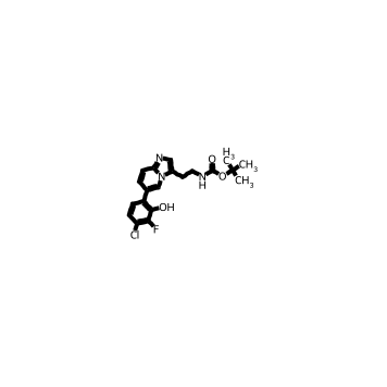 CC(C)(C)OC(=O)NCCc1cnc2ccc(-c3ccc(Cl)c(F)c3O)cn12